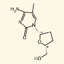 Cc1cn([C@@H]2CC[C@H](CO)O2)c(=O)nc1N